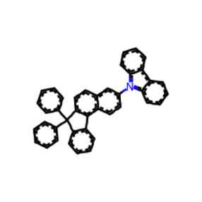 c1ccc(C2(c3ccccc3)c3ccccc3-c3c2ccc2cc(-n4c5ccccc5c5ccccc54)ccc32)cc1